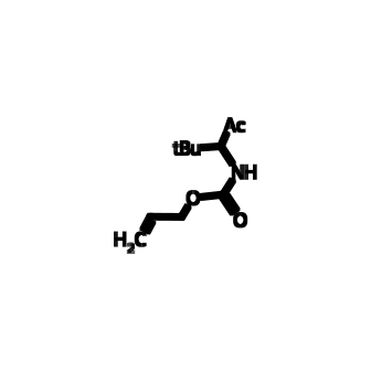 C=CCOC(=O)NC(C(C)=O)C(C)(C)C